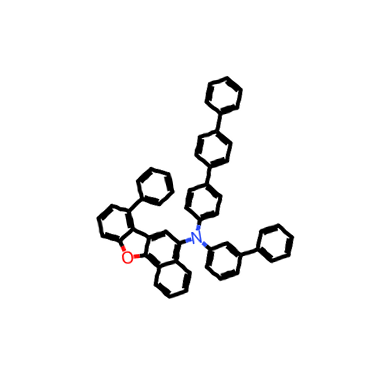 c1ccc(-c2ccc(-c3ccc(N(c4cccc(-c5ccccc5)c4)c4cc5c(oc6cccc(-c7ccccc7)c65)c5ccccc45)cc3)cc2)cc1